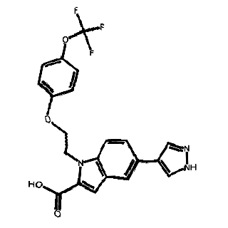 O=C(O)c1cc2cc(-c3cn[nH]c3)ccc2n1CCOc1ccc(OC(F)(F)F)cc1